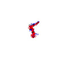 O=C(CN1C(=O)C=CC1=O)NCCCCCCn1cc2cc(-c3cc(-c4ccc(NC(=O)N5Cc6ccncc6C5)cc4)nn(CC(F)(F)F)c3=O)ccc2n1